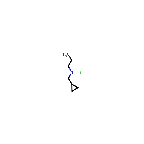 Cl.FC(F)(F)CCNCC1CC1